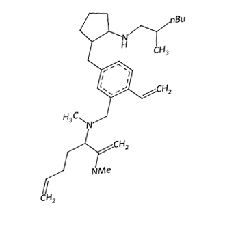 C=CCCC(C(=C)NC)N(C)Cc1cc(CC2CCCC2NCC(C)CCCC)ccc1C=C